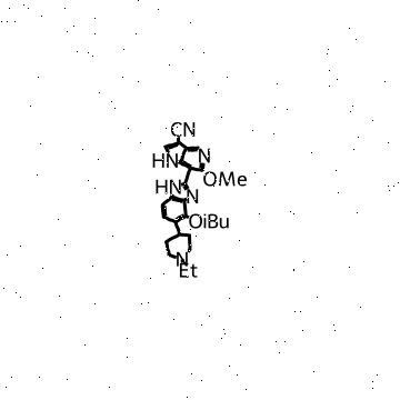 CCN1CCC(c2ccc3[nH]c(-c4c(OC)ncc5c(C#N)c[nH]c45)nc3c2OCC(C)C)CC1